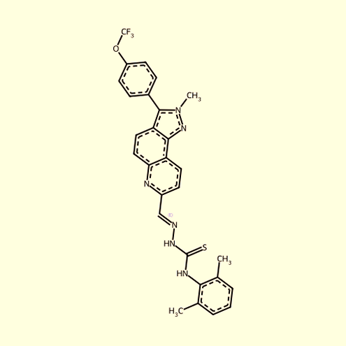 Cc1cccc(C)c1NC(=S)N/N=C/c1ccc2c(ccc3c(-c4ccc(OC(F)(F)F)cc4)n(C)nc32)n1